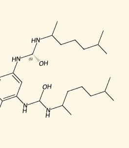 Cc1ccc(N[C@@H](O)NC(C)CCCC(C)C)cc1NC(O)NC(C)CCCC(C)C